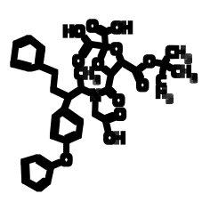 CC(C(CCc1ccccc1)c1ccc(Oc2ccccc2)cc1)N(CC(=O)O)C(=O)C1OC(C(=O)O)(C(=O)O)OC1C(=O)OC(C)(C)C